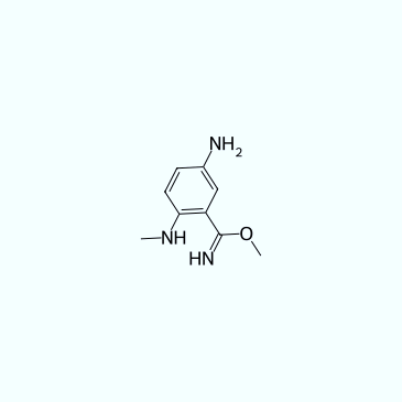 CNc1ccc(N)cc1C(=N)OC